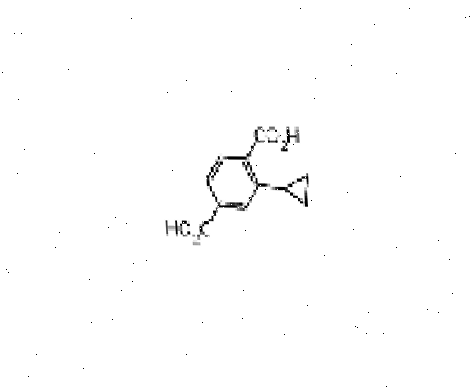 O=C(O)c1ccc(C(=O)O)c(C2CC2)c1